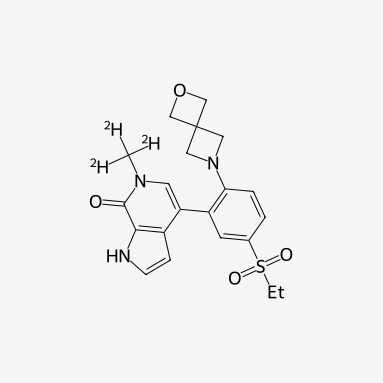 [2H]C([2H])([2H])n1cc(-c2cc(S(=O)(=O)CC)ccc2N2CC3(COC3)C2)c2cc[nH]c2c1=O